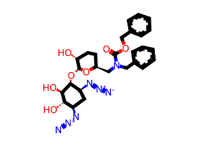 [N-]=[N+]=N[C@H]1C[C@@H](N=[N+]=[N-])[C@H](O)[C@@H](O)[C@@H]1O[C@H]1O[C@H](CN(Cc2ccccc2)C(=O)OCc2ccccc2)CC[C@H]1O